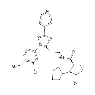 COc1ccc(-c2nc(-c3ccncc3)nn2CCNC(=O)[C@H]2CCC(=O)N2C2CCCC2)cc1Cl